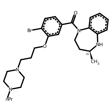 CCCN1CCN(CCCOc2cc(C(=O)N3CC[C@H](C)Nc4ccccc43)ccc2Br)CC1